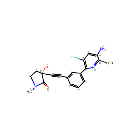 CN1CC[C@@](O)(C#Cc2cccc(-c3nc(C=O)c(N)cc3F)c2)C1=O